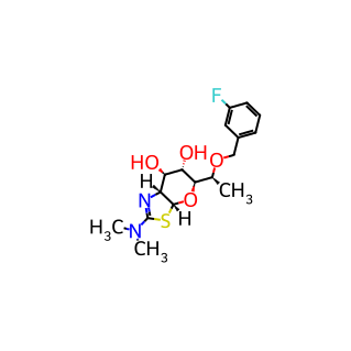 C[C@H](OCc1cccc(F)c1)[C@H]1O[C@@H]2SC(N(C)C)=N[C@@H]2[C@@H](O)[C@@H]1O